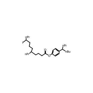 CCCCC(CCC)c1ccc(OC(=O)CCCC(CCC)CCCC(I)CCC)cc1